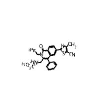 Cc1nc(-c2ccc3c(=O)n(CC(C)C)c(CNC(=O)O)c(-c4ccccc4)c3c2)sc1C#N